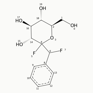 OC[C@H]1OC(F)(C(F)c2ccccc2)[C@H](O)[C@@H](O)[C@@H]1O